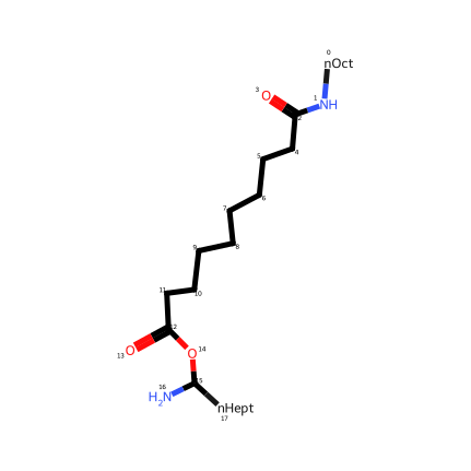 CCCCCCCCNC(=O)CCCCCCCCC(=O)OC(N)CCCCCCC